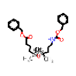 C[Si](C)(CCCNC(=O)OCc1ccccc1)O[Si](C)(C)CCCC(=O)OCc1ccccc1